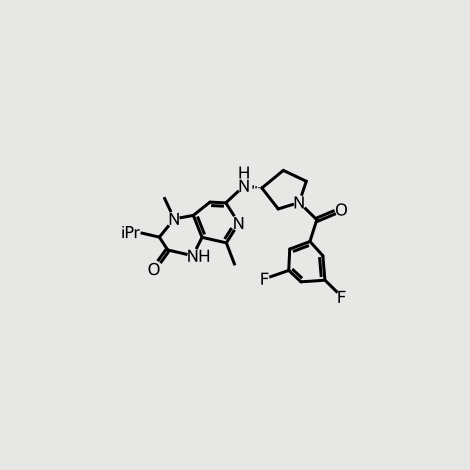 Cc1nc(N[C@@H]2CCN(C(=O)c3cc(F)cc(F)c3)C2)cc2c1NC(=O)C(C(C)C)N2C